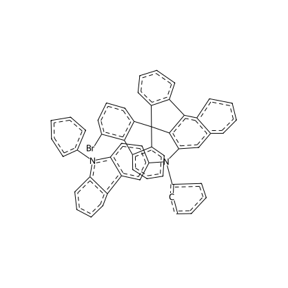 Brc1cccc2c1-c1ccccc1C21c2ccccc2-c2c1c(N(c1ccccc1)c1ccc3c(c1)c1ccccc1n3-c1ccccc1)cc1ccccc21